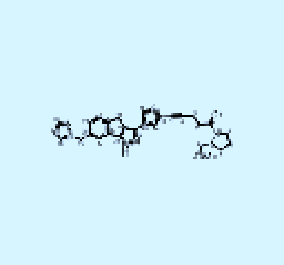 COC[C@@H]1CCCN1C(=O)CCC#Cc1cc(-c2n[nH]c3c2Cc2ccc(Cn4cncn4)cc2-3)cs1